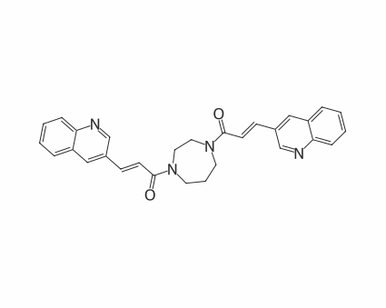 O=C(/C=C/c1cnc2ccccc2c1)N1CCCN(C(=O)/C=C/c2cnc3ccccc3c2)CC1